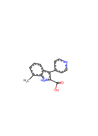 Cc1cccc2c(-c3ccncc3)c(C(=O)O)[nH]c12